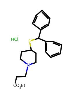 CCOC(=O)CCN1CCC(SC(c2ccccc2)c2ccccc2)CC1.Cl